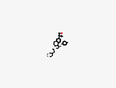 O=C(CC1CCS(=O)(=O)C1)N1CC[C@]2(S(=O)(=O)c3ccc(F)cc3)c3ccc(C(F)(C(F)(F)F)C(F)(F)F)cc3CC[C@H]12